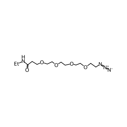 CCNC(=O)CCOCCOCCOCCOCCN=[N+]=[N-]